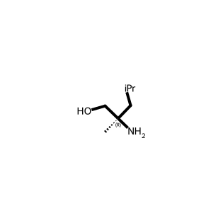 CC(C)C[C@@](C)(N)CO